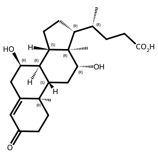 C[C@H](CCC(=O)O)[C@H]1CC[C@H]2[C@@H]3[C@H](O)CC4=CC(=O)CC[C@]4(C)[C@H]3C[C@@H](O)[C@]12C